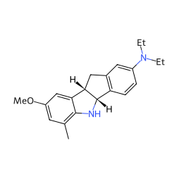 CCN(CC)c1ccc2c(c1)C[C@H]1c3cc(OC)cc(C)c3N[C@@H]21